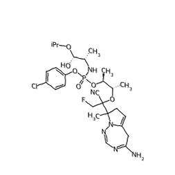 CC(C)O[C@@H](O)[C@H](C)NP(=O)(Oc1ccc(Cl)cc1)O[C@@H](C)[C@H](C)OC(C#N)(CF)C1(C)CC=C2CC(N)=NC=NN21